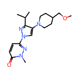 COCC1CCN(c2cn(-c3ccc(=O)n(C)n3)nc2C(C)C)CC1